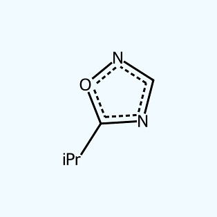 CC(C)c1ncno1